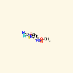 CCCS(=O)(=O)N1CCN(CCCCCN2C(=S)N(c3ccc(C#N)c(C(F)(F)F)c3)C(=O)C2(C)C)CC1